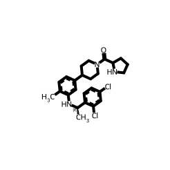 Cc1ccc(C2CCN(C(=O)C3CCCN3)CC2)cc1N[C@H](C)c1ccc(Cl)cc1Cl